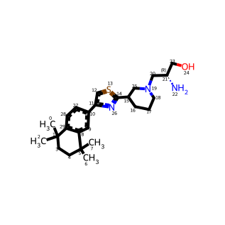 CC1(C)CCC(C)(C)c2cc(-c3csc(C4CCCN(C[C@@H](N)CO)C4)n3)ccc21